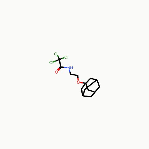 O=C(NCCOC12CC3CC(CC(C3)C1)C2)C(Cl)(Cl)Cl